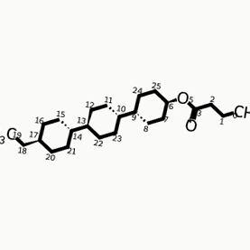 CCCC(=O)O[C@H]1CC[C@H]([C@H]2CC[C@H]([C@H]3CC[C@H](CC)CC3)CC2)CC1